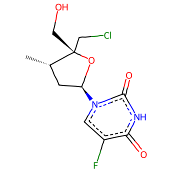 C[C@H]1C[C@H](n2cc(F)c(=O)[nH]c2=O)O[C@@]1(CO)CCl